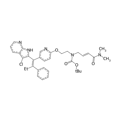 CC/C(=C(/c1ccc(OCCN(C/C=C/C(=O)N(C)C)C(=O)OC(C)(C)C)nc1)c1[nH]c2ncccc2c1Cl)c1ccccc1